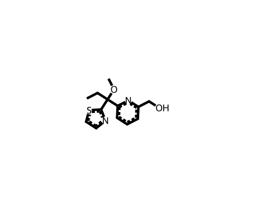 CCC(OC)(c1cccc(CO)n1)c1nccs1